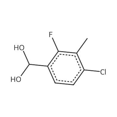 Cc1c(Cl)ccc(C(O)O)c1F